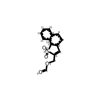 O=COCC1=Cc2ccc3ccccc3c2S1(=O)=O